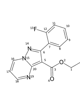 CCOC(=O)c1c(-c2ccccc2F)nn2cccnc12